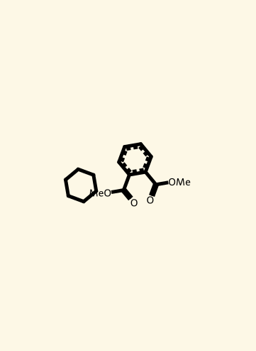 C1CCCCC1.COC(=O)c1ccccc1C(=O)OC